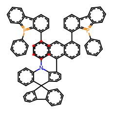 c1ccc(N2c3ccccc3C3(c4ccccc4-c4ccccc43)c3cccc(-c4c5cccc(-c6cccc7c8ccccc8p(-c8ccccc8)c67)c5cc5c(-c6cccc7c8ccccc8p(-c8ccccc8)c67)cccc45)c32)cc1